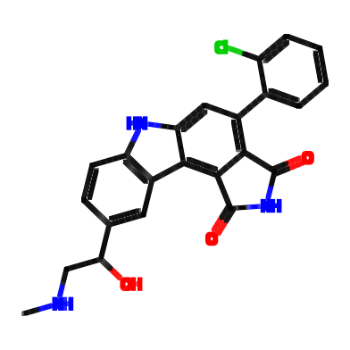 CNCC(O)c1ccc2[nH]c3cc(-c4ccccc4Cl)c4c(c3c2c1)C(=O)NC4=O